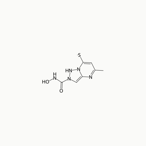 CC1=NC2=CN(C(=O)NO)NN2C([S])=C1